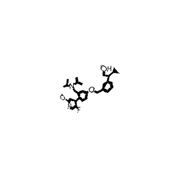 COc1cc(-c2ccc(OCc3cccc(C(CO)C4CC4)c3)cc2CN(C(C)C)C(C)C)c(F)cn1